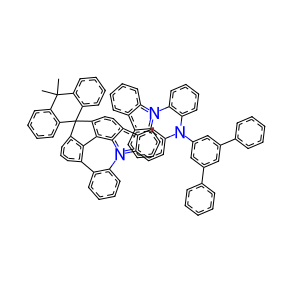 CC1(C)c2ccccc2C2(c3ccccc31)c1cccc3c1-c1c2ccc2c4cc(N(c5cc(-c6ccccc6)cc(-c6ccccc6)c5)c5ccccc5-n5c6ccccc6c6ccccc65)ccc4n(c12)-c1ccccc1-3